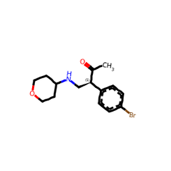 CC(=O)[C@H](CNC1CCOCC1)c1ccc(Br)cc1